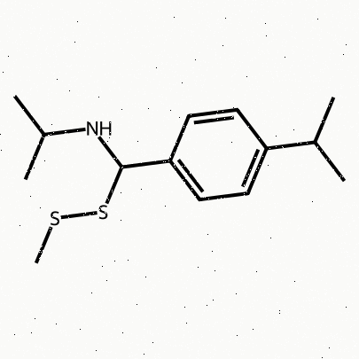 CSSC(NC(C)C)c1ccc(C(C)C)cc1